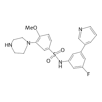 COc1ccc(S(=O)(=O)Nc2cc(F)cc(-c3cccnc3)c2)cc1N1CCNCC1